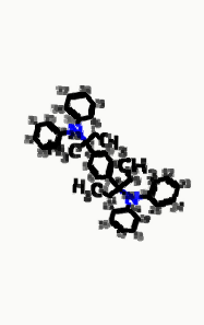 CCC(C)(c1ccc(C(CC)(CC)N(c2ccccc2)c2ccccc2)cc1)N(c1ccccc1)c1ccccc1